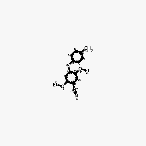 CCOc1cc(Sc2ccc(C)cc2)c(OCC)cc1[N+]#N